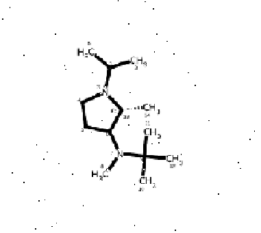 CC(C)N1CCC(N(C)C(C)(C)C)[C@H]1C